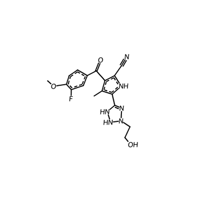 COc1ccc(C(=O)c2c(C#N)[nH]c(C3=NN(CCO)NN3)c2C)cc1F